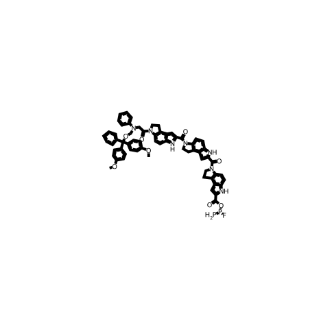 COc1ccc(C(OCN(CC(=O)N2CCc3c2ccc2[nH]c(C(=O)N4CCc5c4ccc4[nH]c(C(=O)N6CCc7c6ccc6[nH]c(C(=O)OP(F)P)cc76)cc54)cc32)c2ccccc2)(c2ccccc2)c2ccc(OC)cc2)cc1